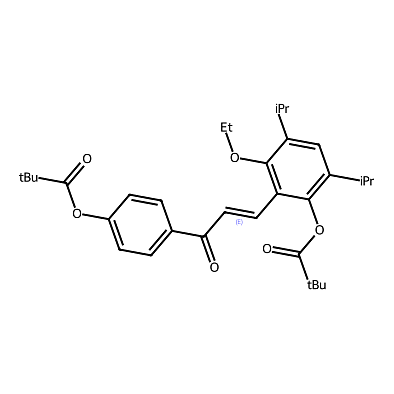 CCOc1c(C(C)C)cc(C(C)C)c(OC(=O)C(C)(C)C)c1/C=C/C(=O)c1ccc(OC(=O)C(C)(C)C)cc1